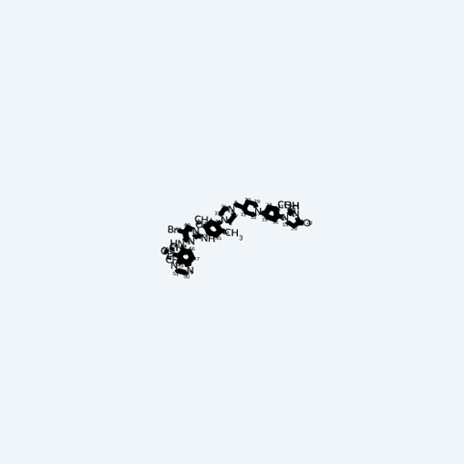 COc1cc(N2CCN(CC3CCN(c4ccc(N5CCC(=O)NC5O)c(C)c4)CC3)CC2)c(C)cc1Nc1ncc(Br)c(Nc2ccc3nccnc3c2P(C)(C)=O)n1